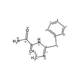 C=C(N/C(Cc1ccccc1)=N\C)C(N)=O